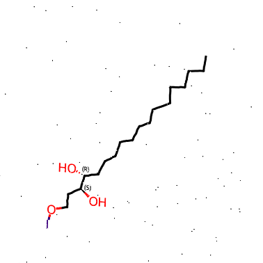 CCCCCCCCCCCCCC[C@@H](O)[C@@H](O)CCOI